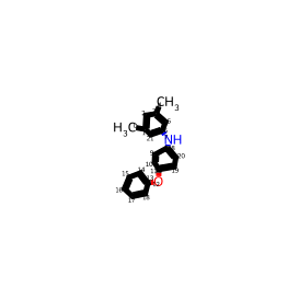 Cc1cc(C)cc(Nc2ccc(Oc3ccccc3)cc2)c1